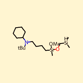 CO[Si](C)(CCCCN(C1CCCCC1)C(C)(C)C)OC[SiH](C)C